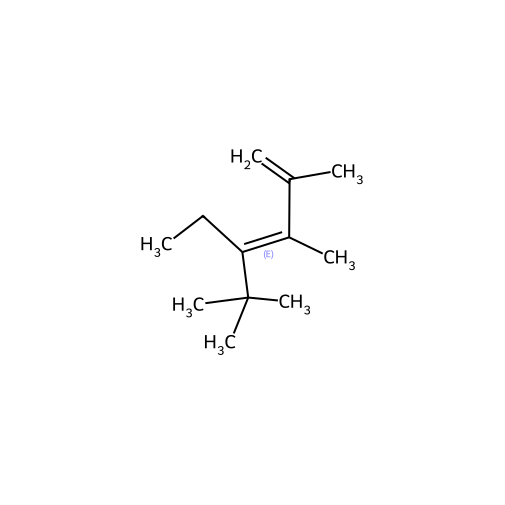 C=C(C)/C(C)=C(\CC)C(C)(C)C